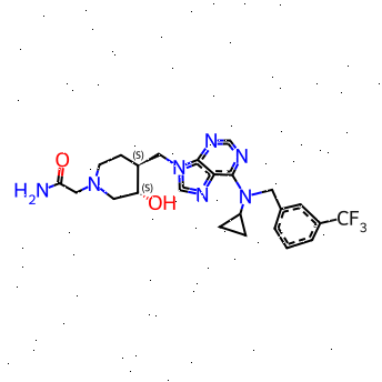 NC(=O)CN1CC[C@@H](Cn2cnc3c(N(Cc4cccc(C(F)(F)F)c4)C4CC4)ncnc32)[C@H](O)C1